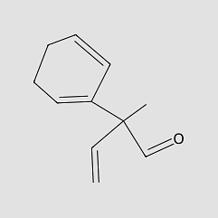 C=CC(C)(C=O)C1=CCCC=C1